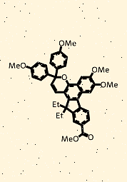 CCC1(CC)c2cc(C(=O)OC)ccc2-c2c1c1c(c3cc(OC)c(OC)cc23)OC(c2ccc(OC)cc2)(c2ccc(OC)cc2)C=C1